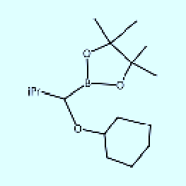 CC(C)C(OC1CCCCC1)B1OC(C)(C)C(C)(C)O1